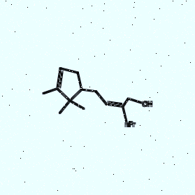 CCCC(=CCC1CC=C(C)C1(C)C)CO